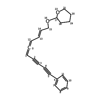 C(=CC#CC#Cc1ccccc1)=CC=CCOC1CCCCO1